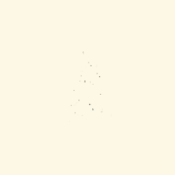 CC(C)(C)c1cc(Cl)ccc1Oc1ccc(Cl)cc1Cl